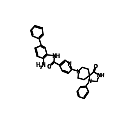 Nc1ccc(-c2ccccc2)cc1NC(=O)c1ccc(N2CCC3(CC2)C(=O)NCN3c2ccccc2)nc1